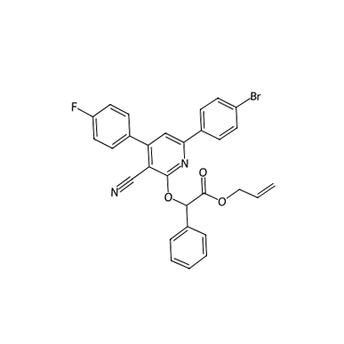 C=CCOC(=O)C(Oc1nc(-c2ccc(Br)cc2)cc(-c2ccc(F)cc2)c1C#N)c1ccccc1